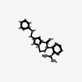 CN(C)c1nccnc1N1CCn2nc(COc3ccccc3)cc2C1=O